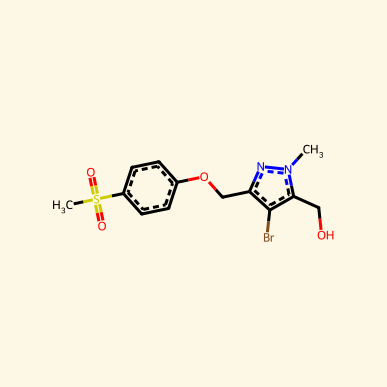 Cn1nc(COc2ccc(S(C)(=O)=O)cc2)c(Br)c1CO